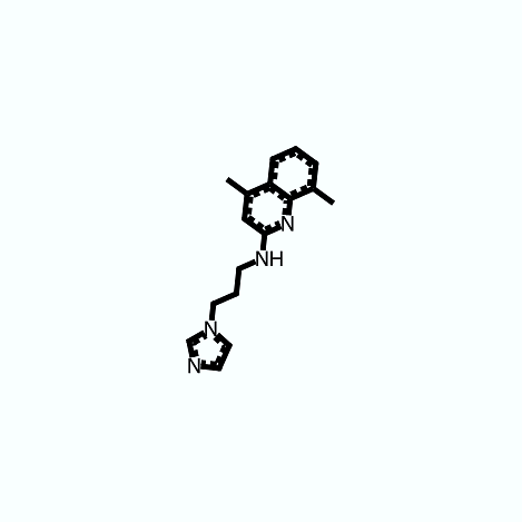 Cc1cc(NCCCn2ccnc2)nc2c(C)cccc12